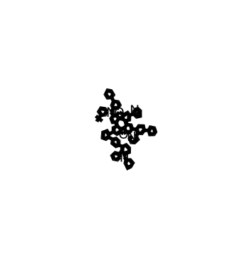 CC(C)(C)c1cccc(N(c2cccc(-c3ccccc3)c2)c2ccc3c4cc(-c5ccccc5-c5ccc(-c6cccc7c6c6ccccc6n7-c6ccccc6)cc5)cc5oc6cc(-c7ccc(-c8ccccc8)cc7-c7ccccn7)cc(c7cc(-c8ccccn8)cc8oc2c3c87)c6c54)c1